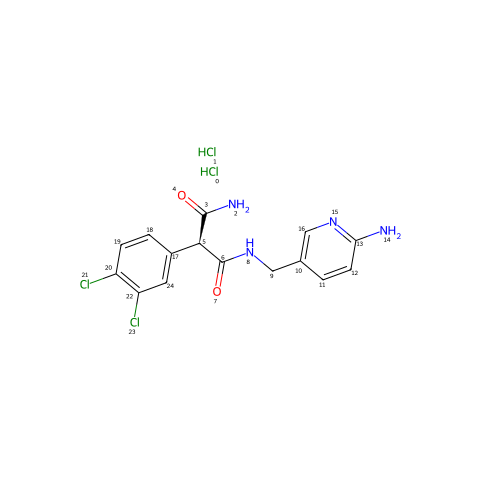 Cl.Cl.NC(=O)[C@@H](C(=O)NCc1ccc(N)nc1)c1ccc(Cl)c(Cl)c1